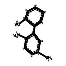 Nc1ccc(N)c(-c2ccccc2O)c1